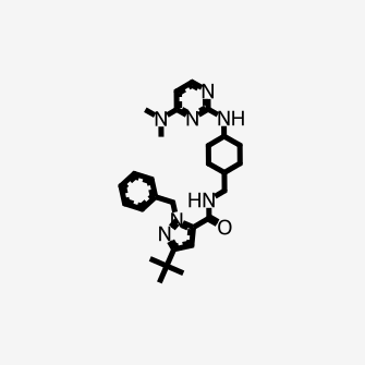 CN(C)c1ccnc(NC2CCC(CNC(=O)c3cc(C(C)(C)C)nn3Cc3ccccc3)CC2)n1